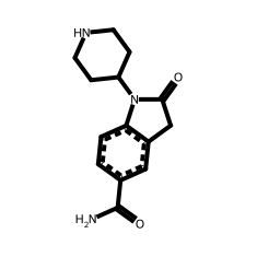 NC(=O)c1ccc2c(c1)CC(=O)N2C1CCNCC1